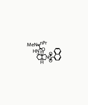 CCC[C@H](NC)C(=O)N[C@H]1CC[C@@H]2CN(S(=O)(=O)c3cccc4ccccc34)C[C@@H]21